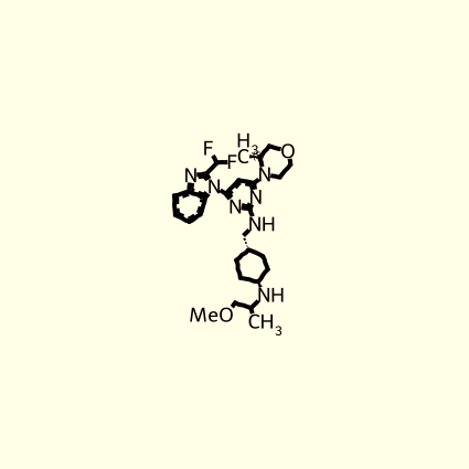 COCC(C)N[C@H]1CC[C@H](CNc2nc(N3CCOC[C@@H]3C)cc(-n3c(C(F)F)nc4ccccc43)n2)CC1